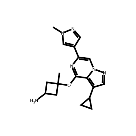 Cn1cc(-c2cn3ncc(C4CC4)c3c(OC3(C)CC(N)C3)n2)cn1